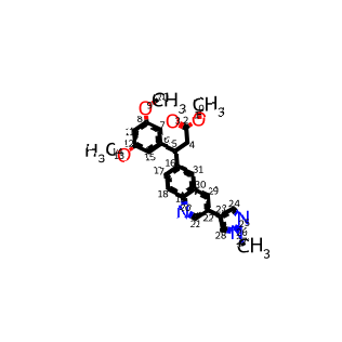 COC(=O)CC(c1cc(OC)cc(OC)c1)c1ccc2ncc(-c3cnn(C)c3)cc2c1